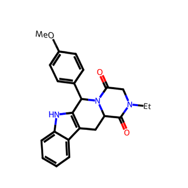 CCN1CC(=O)N2C(Cc3c([nH]c4ccccc34)C2c2ccc(OC)cc2)C1=O